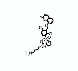 Cc1ccc2cccc(OCc3c(Cl)ccc(S(=O)(=O)N4CCC[C@H]4C(=O)NCCCCN)c3Cl)c2n1